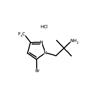 CC(C)(N)Cn1nc(C(F)(F)F)cc1Br.Cl